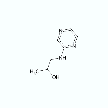 CC(O)CNc1cnccn1